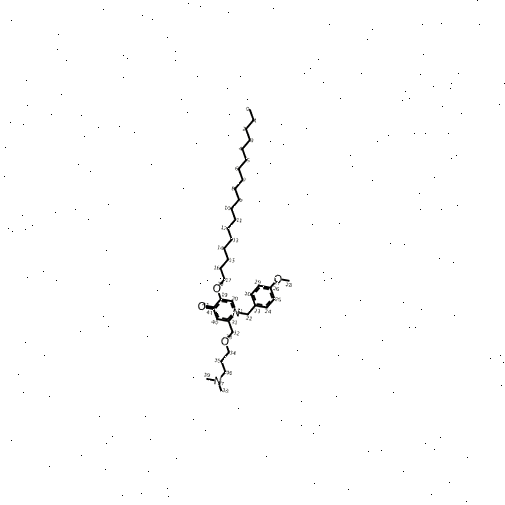 CCCCCCCCCCCCCCCCCCOc1cn(Cc2ccc(OC)cc2)c(COCCCN(C)C)cc1=O